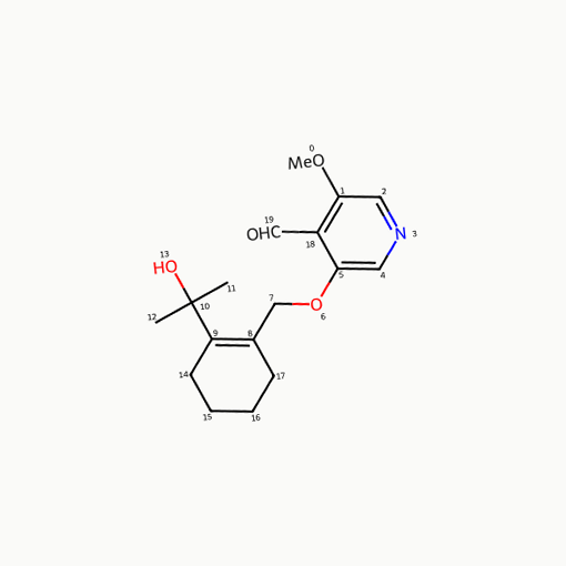 COc1cncc(OCC2=C(C(C)(C)O)CCCC2)c1C=O